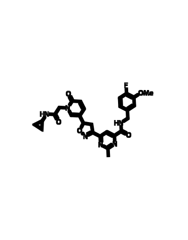 COc1cc(CNC(=O)c2cc(C3=NOC(c4ccc(=O)n(CC(=O)NC5CC5)c4)C3)nc(C)n2)ccc1F